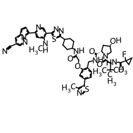 CNc1cc(-c2ccc3cc(C#N)cnn23)ncc1-c1nnc(C2CCC(NC(=O)COc3cc(-c4scnc4C)ccc3CNC(=O)[C@@H]3C[C@@H](O)CN3C(=O)[C@@H](NC(=O)C3(F)CC3)C(C)(C)C)CC2)s1